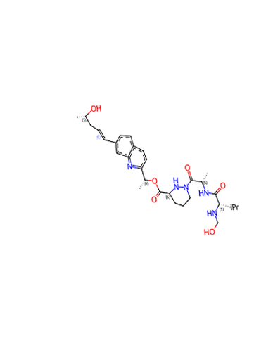 CC(C)[C@H](NCO)C(=O)N[C@@H](C)C(=O)N1CCC[C@@H](C(=O)O[C@H](C)c2ccc3ccc(/C=C/C[C@H](C)O)cc3n2)N1